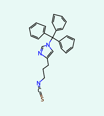 S=C=NCCCc1cn(C(c2ccccc2)(c2ccccc2)c2ccccc2)cn1